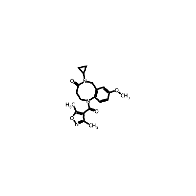 COc1ccc2c(c1)CN(C1CC1)C(=O)CCN2C(=O)c1c(C)noc1C